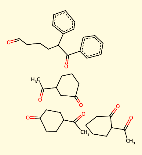 CC(=O)C1CCC(=O)CC1.CC(=O)C1CCCC(=O)C1.CC(=O)C1CCCCC1=O.O=CCCCC(C(=O)c1ccccc1)c1ccccc1